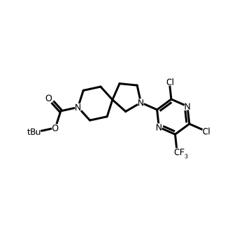 CC(C)(C)OC(=O)N1CCC2(CC1)CCN(c1nc(C(F)(F)F)c(Cl)nc1Cl)C2